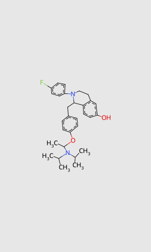 CC(C)N(C(C)C)C(C)Oc1ccc(CC2c3ccc(O)cc3CCN2c2ccc(F)cc2)cc1